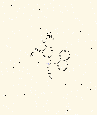 COc1ccc(/C(=C/C#N)c2cccc3ccccc23)cc1OC